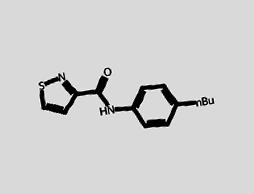 CCCCc1ccc(NC(=O)c2ccsn2)cc1